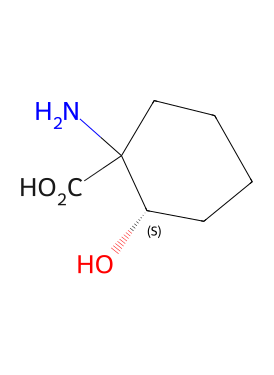 NC1(C(=O)O)CCCC[C@@H]1O